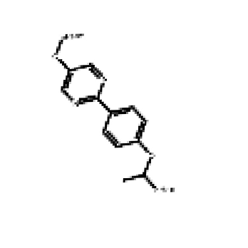 CCCCCCC(C)Oc1ccc(-c2ncc(OCCCCC)cn2)cc1